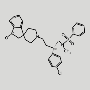 CN(C[C@@H](CCN1CCC2(CC1)C[S+]([O-])c1ccccc12)c1ccc(Cl)cc1)S(=O)(=O)c1ccccc1